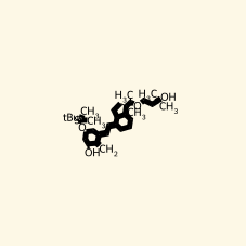 C=C1/C(=C/C=C2\CCC[C@@]3(C)C2CC[C@@H]3[C@H](C)OCCC(C)(C)O)CC(O[Si](C)(C)C(C)(C)C)C[C@@H]1O